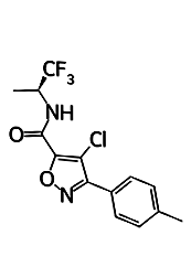 Cc1ccc(-c2noc(C(=O)N[C@@H](C)C(F)(F)F)c2Cl)cc1